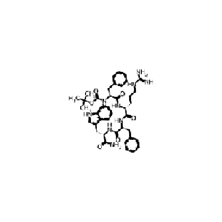 CC(C)(C)OC(=O)N[C@@H](Cc1ccccc1)C(=O)N[C@H](CCCNC(=N)N)C(=O)N[C@@H](Cc1ccccc1)C(=O)N[C@@H](Cc1c[nH]c2ccccc12)C(N)=O